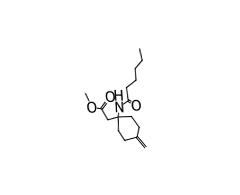 C=C1CCC(CC(=O)OC)(NC(=O)CCCCC)CC1